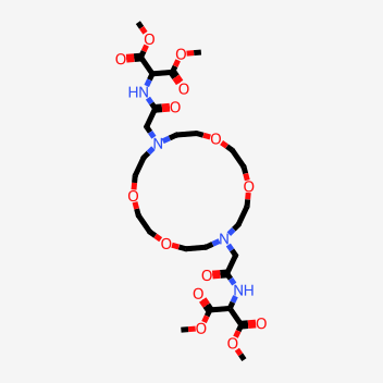 COC(=O)C(NC(=O)CN1CCOCCOCCN(CC(=O)NC(C(=O)OC)C(=O)OC)CCOCCOCC1)C(=O)OC